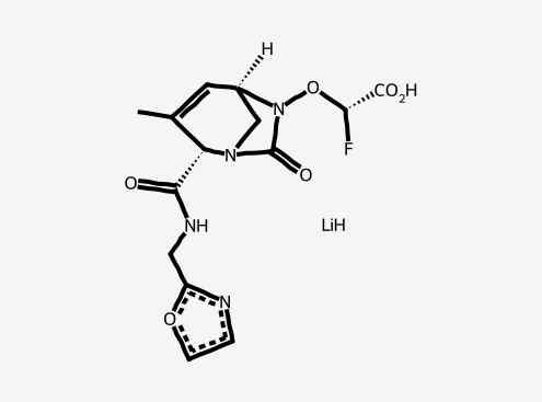 CC1=C[C@@H]2CN(C(=O)N2O[C@@H](F)C(=O)O)[C@@H]1C(=O)NCc1ncco1.[LiH]